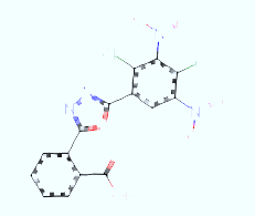 O=C(O)c1ccccc1-c1nnc(-c2cc([N+](=O)[O-])c(Cl)c([N+](=O)[O-])c2Cl)o1